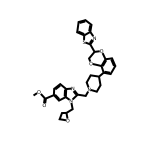 COC(=O)c1ccc2nc(CN3CCC(c4cccc5c4OCC(c4nc6ccccc6s4)O5)CC3)n(CC3CCO3)c2c1